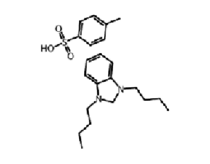 CCCCN1CN(CCCC)c2ccccc21.Cc1ccc(S(=O)(=O)O)cc1